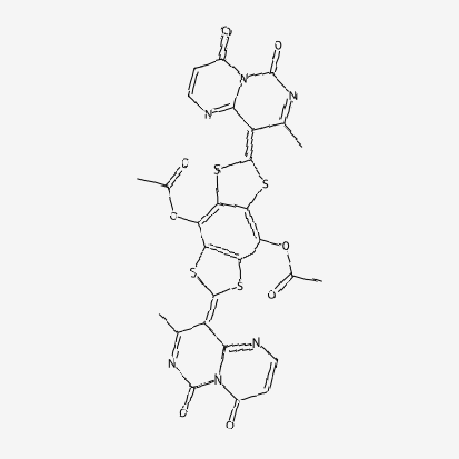 CC(=O)Oc1c2c(c(OC(C)=O)c3c1SC(=c1c(C)nc(=O)n4c(=O)ccnc14)S3)SC(=c1c(C)nc(=O)n3c(=O)ccnc13)S2